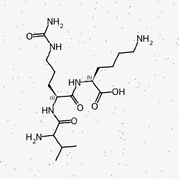 CC(C)C(N)C(=O)N[C@@H](CCCNC(N)=O)C(=O)N[C@@H](CCCCN)C(=O)O